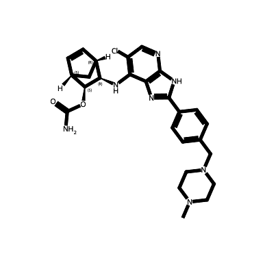 CN1CCN(Cc2ccc(-c3nc4c(N[C@H]5[C@@H](OC(N)=O)[C@@H]6C=C[C@H]5C6)c(Cl)cnc4[nH]3)cc2)CC1